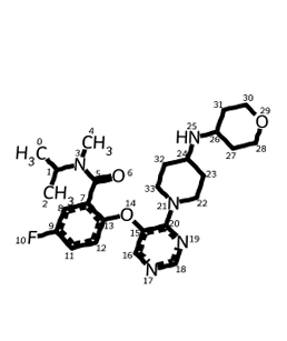 CC(C)N(C)C(=O)c1cc(F)ccc1Oc1cncnc1N1CCC(NC2CCOCC2)CC1